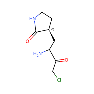 NC(C[C@@H]1CCNC1=O)C(=O)CCl